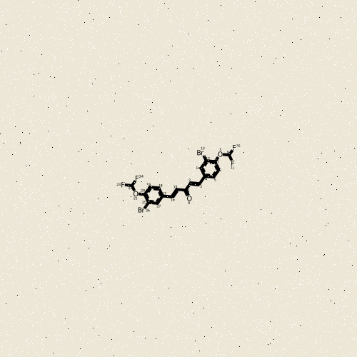 O=C(/C=C/c1ccc(OC(F)F)c(Br)c1)/C=C/c1ccc(OC(F)F)c(Br)c1